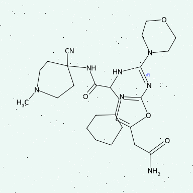 CN1CCC(C#N)(NC(=O)C(CC2CCCCC2)N/C(=N\c2ncc(CC(N)=O)o2)N2CCOCC2)CC1